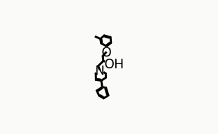 Cc1cccc(OCC(O)CN2CC=C(c3ccccc3)CC2)c1